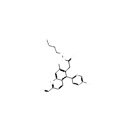 CCCCOOC(=O)Cc1c(C)cc2nc(C=O)ccc2c1-c1ccc(Cl)cc1